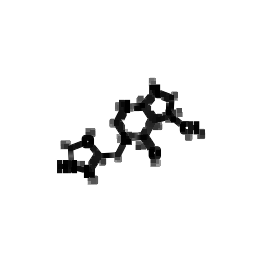 Cn1cnc2ncn(CC3=NNCO3)c(=O)c21